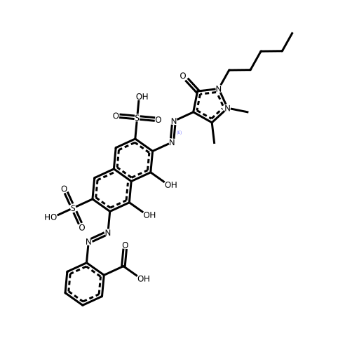 CCCCCn1c(=O)c(/N=N/c2c(S(=O)(=O)O)cc3cc(S(=O)(=O)O)c(N=Nc4ccccc4C(=O)O)c(O)c3c2O)c(C)n1C